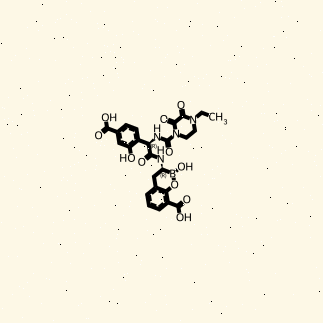 CCN1CCN(C(=O)N[C@@H](C(=O)N[C@H]2Cc3cccc(C(=O)O)c3OB2O)c2ccc(C(=O)O)cc2O)C(=O)C1=O